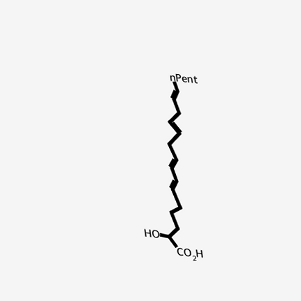 CCCCCC=CCC=CCC=CC=CCCCC(O)C(=O)O